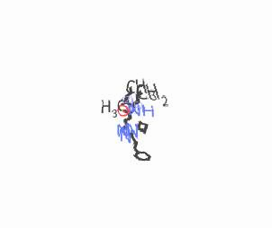 C=C/C=C(NC(=O)CCc1nnc(CCC2CCCCC2)n1C1CCC1)\C(C)=C/CC